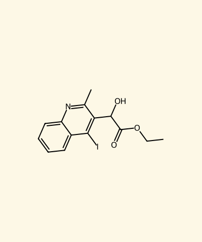 CCOC(=O)C(O)c1c(C)nc2ccccc2c1I